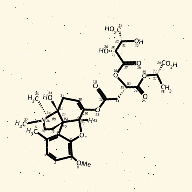 COc1ccc(C)c2c1O[C@H]1C(OC(=O)C[C@H](OC(=O)[C@H](O)[C@@H](O)C(=O)O)C(=O)O[C@@H](C)C(=O)O)=CC[C@@]3(O)[C@@H](C)N(C)CC[C@]213